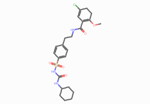 COC1=C(C(=O)NCCc2ccc(S(=O)(=O)NC(=O)NC3CCCCC3)cc2)C=C(Cl)CC1